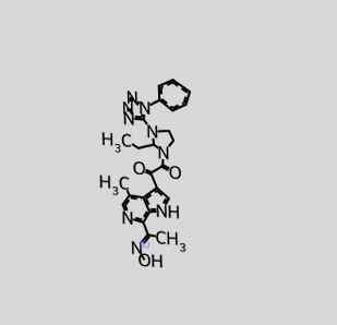 CCC1N(C(=O)C(=O)c2c[nH]c3c(/C(C)=N/O)ncc(C)c23)CCN1c1nnnn1-c1ccccc1